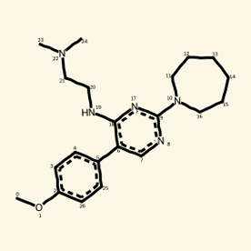 COc1ccc(-c2cnc(N3CCCCCC3)nc2NCCN(C)C)cc1